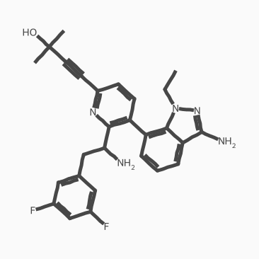 CCn1nc(N)c2cccc(-c3ccc(C#CC(C)(C)O)nc3C(N)Cc3cc(F)cc(F)c3)c21